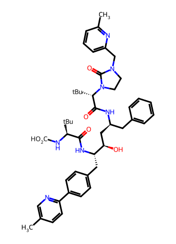 Cc1ccc(-c2ccc(C[C@H](NC(=O)[C@@H](NC(=O)O)C(C)(C)C)[C@H](O)C[C@H](Cc3ccccc3)NC(=O)[C@@H](N3CCN(Cc4cccc(C)n4)C3=O)C(C)(C)C)cc2)nc1